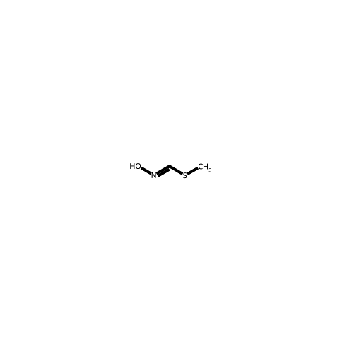 CSC=NO